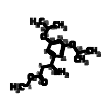 CCOC(=O)CC(N)c1cc(OC(C)C)cc(OC(C)C)c1